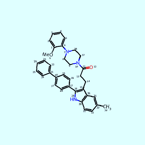 COc1ccccc1N1CCN(C(=O)CCc2c(-c3ccc(-c4ccccc4)cc3)[nH]c3ccc(C)cc23)CC1